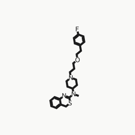 CN(C1=Nc2ccccc2CS1)C1CCN(CCCOCCc2ccc(F)cc2)CC1